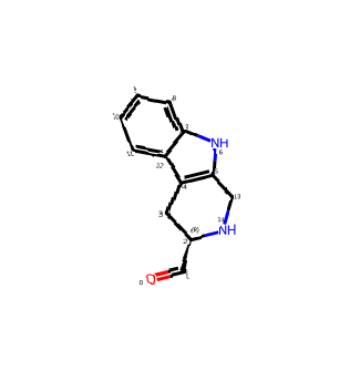 O=[C][C@H]1Cc2c([nH]c3ccccc23)CN1